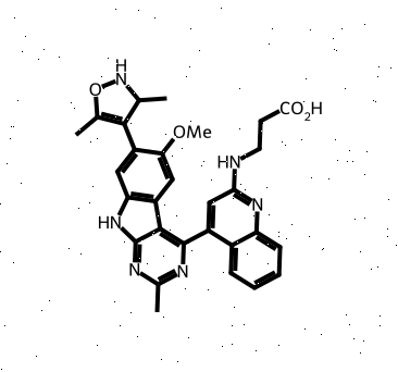 COc1cc2c(cc1C1=C(C)ONC1C)[nH]c1nc(C)nc(-c3cc(NCCC(=O)O)nc4ccccc34)c12